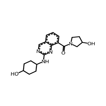 O=C(c1cccc2cnc(NC3CCC(O)CC3)nc12)N1CCC(O)C1